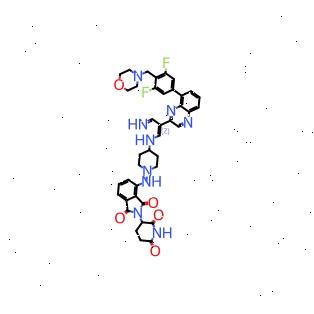 N=C/C(=C\NC1CCN(Nc2cccc3c2C(=O)N(C2CCC(=O)NC2=O)C3=O)CC1)c1cnc2cccc(-c3cc(F)c(CN4CCOCC4)c(F)c3)c2n1